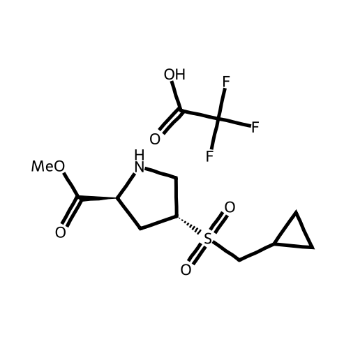 COC(=O)[C@@H]1C[C@@H](S(=O)(=O)CC2CC2)CN1.O=C(O)C(F)(F)F